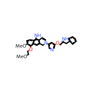 COCCOc1c(OC)ccc2c(N)c3c(cc12)CN(c1cncc(OC[C@H](N)Cc2ccccc2)c1)C=C3